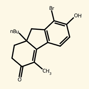 CCCCC12CCC(=O)C(C)=C1c1ccc(O)c(Br)c1C2